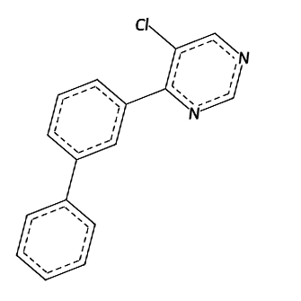 Clc1cncnc1-c1cccc(-c2ccccc2)c1